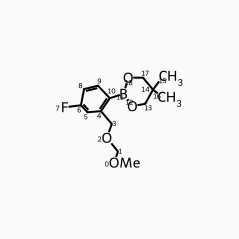 COCOCc1cc(F)ccc1B1OCC(C)(C)CO1